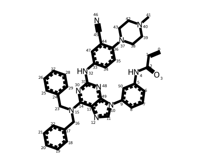 C=CC(=O)Nc1cccc(-n2cnc3c(N(Cc4ccccc4)Cc4ccccc4)nc(Nc4ccc(N5CCN(C)CC5)c(C#N)c4)nc32)c1